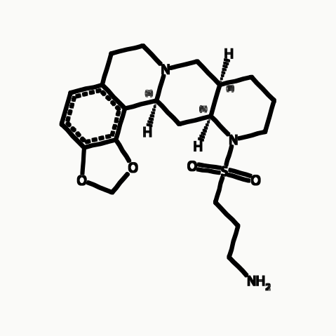 NCCCS(=O)(=O)N1CCC[C@@H]2CN3CCc4ccc5c(c4[C@@H]3C[C@@H]21)OCO5